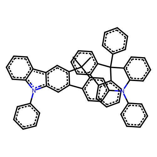 CC1(C)c2cc(N(c3ccccc3)c3ccccc3C3(c4ccccc4)c4ccccc4-c4ccccc43)ccc2-c2cc3c(cc21)c1ccccc1n3-c1ccccc1